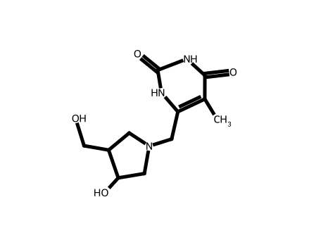 Cc1c(CN2CC(O)C(CO)C2)[nH]c(=O)[nH]c1=O